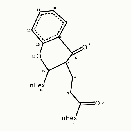 CCCCCCC(=O)CCC1C(=O)c2ccccc2OC1CCCCCC